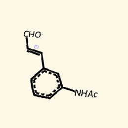 CC(=O)Nc1cccc(/C=C/[C]=O)c1